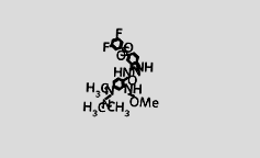 COCCNc1cc(N(C)CCN(C)C)ccc1C(=O)Nc1n[nH]c2ccc(S(=O)(=O)c3cc(F)cc(F)c3)cc12